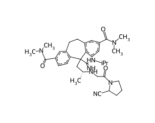 CC(C)NC(=N)C1(C[C@@H](C)NCC(=O)N2CCCC2C#N)c2ccc(C(=O)N(C)C)cc2CCc2cc(C(=O)N(C)C)ccc21